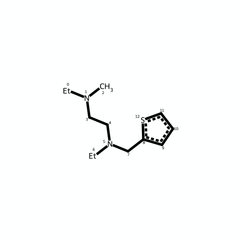 CCN(C)CCN(CC)Cc1cccs1